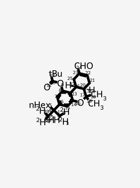 [2H]C([2H])([2H])C(CCCCCC)(c1cc(OC(=O)C(C)(C)C)c2c(c1)OC(C)(C)[C@@H]1CC=C(C=O)C[C@@H]21)C([2H])([2H])[2H]